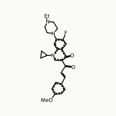 CCN1CCN(c2cc3c(cc2F)c(=O)c(C(=O)C=Cc2ccc(OC)cc2)cn3C2CC2)CC1